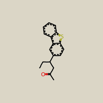 CCC(CC(C)=O)c1ccc2sc3ccccc3c2c1